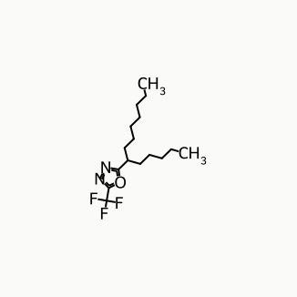 CCCCCCCC(CCCCC)c1nnc(C(F)(F)F)o1